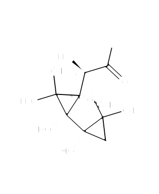 CC1(C)C[C@@]1(O)[C@@]1(O)C(C)(C)[C@@]1(O)[C@@H](O)C([O])=O